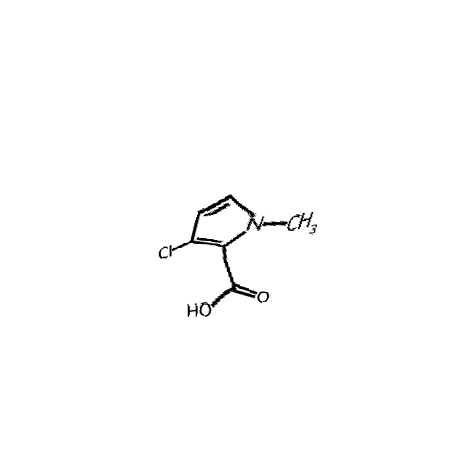 Cn1ccc(Cl)c1C(=O)O